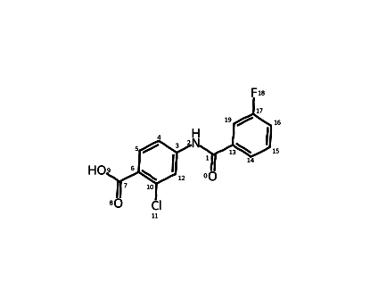 O=C(Nc1ccc(C(=O)O)c(Cl)c1)c1cccc(F)c1